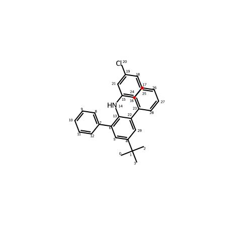 CC(C)(C)c1cc(-c2ccccc2)c(Nc2cccc(Cl)c2)c(-c2ccccc2)c1